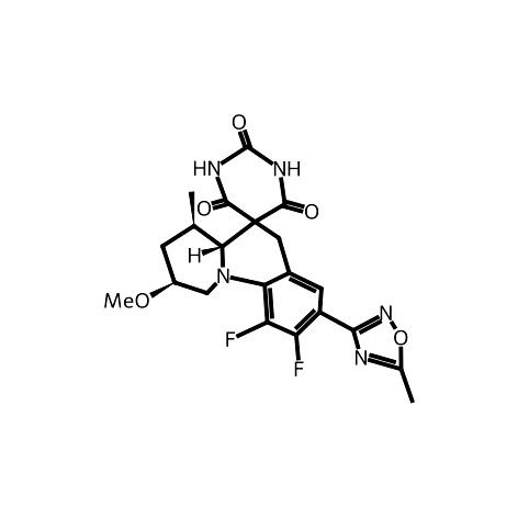 CO[C@H]1C[C@@H](C)[C@H]2N(C1)c1c(cc(-c3noc(C)n3)c(F)c1F)CC21C(=O)NC(=O)NC1=O